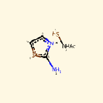 CC(=O)NS.Nc1nccs1